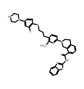 O=C(Nc1nc2ccccc2s1)c1cccc2c1CN(c1ccc(CCCOc3ccc(N4CCNCC4)cc3F)c(C(=O)O)n1)CC2